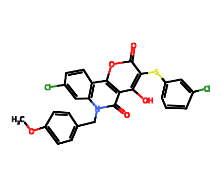 COc1ccc(Cn2c(=O)c3c(O)c(Sc4cccc(Cl)c4)c(=O)oc3c3ccc(Cl)cc32)cc1